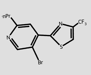 CC[CH]c1cc(-c2nc(C(F)(F)F)cs2)c(Br)cn1